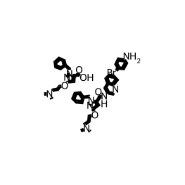 CN(C)CCCOc1cc(C(=O)Nc2cnc3ccccc3c2)n(Cc2ccccc2)n1.CN(C)CCCOc1cc(C(=O)O)n(Cc2ccccc2)n1.Nc1ccc(Br)cc1